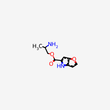 CC(N)COC(=O)c1cc2occc2[nH]1